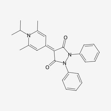 CC1=CC(=C2C(=O)N(c3ccccc3)N(c3ccccc3)C2=O)C=C(C)N1C(C)C